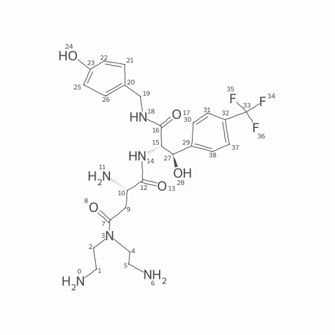 NCCN(CCN)C(=O)C[C@H](N)C(=O)N[C@H](C(=O)NCc1ccc(O)cc1)[C@H](O)c1ccc(C(F)(F)F)cc1